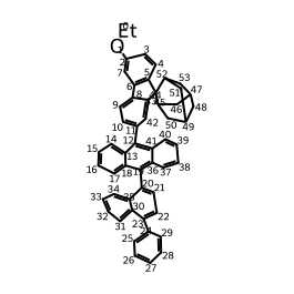 CCOc1ccc2c(c1)-c1ccc(-c3c4ccccc4c(-c4ccc(-c5ccccc5)c5ccccc45)c4ccccc34)cc1C21C2CC3CC(C2)CC1C3